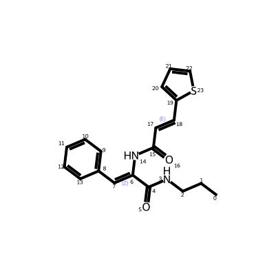 CCCNC(=O)/C(=C/c1ccccc1)NC(=O)/C=C/c1cccs1